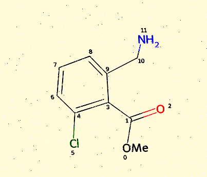 COC(=O)c1c(Cl)cccc1CN